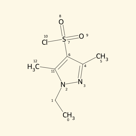 CCn1nc(C)c(S(=O)(=O)Cl)c1C